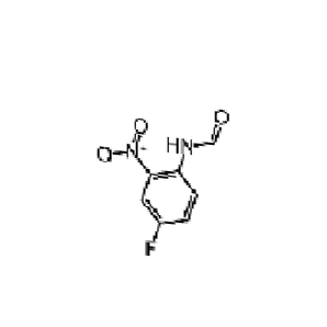 O=CNc1ccc(F)cc1[N+](=O)[O-]